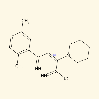 CCC(=N)/C(=C\C(=N)c1cc(C)ccc1C)N1CCCCC1